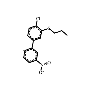 CCCSc1cc(-c2[c]ccc([N+](=O)[O-])c2)ccc1Cl